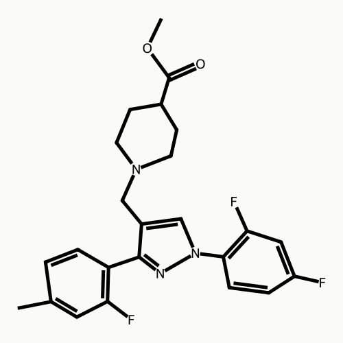 COC(=O)C1CCN(Cc2cn(-c3ccc(F)cc3F)nc2-c2ccc(C)cc2F)CC1